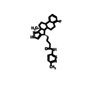 Cc1ccc(NC(=O)CCC[C@@H]2c3c[nH]nc3[C@@]3(C)CCC4c5cccc(F)c5CCC4C23)nn1